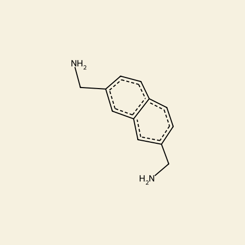 NCc1ccc2ccc(CN)cc2c1